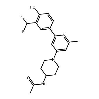 CC(=O)NC1CCN(c2cc(C)nc(-c3ccc(O)c(C(F)F)c3)c2)CC1